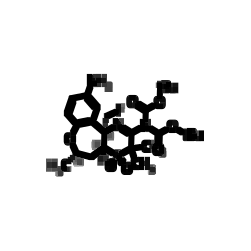 C[C@H]1C[C@@H]2[C@](CF)(N=C(N(C(=O)OC(C)(C)C)C(=O)OC(C)(C)C)C(C)(C)S2(=O)=O)c2cc(N)ccc2O1